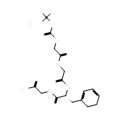 CC(C)(C)OC(=O)NCC(=O)NCC(=O)N[C@@H](CC1=CC=CCC1)C(=O)NCC(=O)O